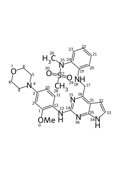 COc1cc(N2CCOCC2)ccc1Nc1nc(CNc2ccccc2N(C)S(C)(=O)=O)c2cc[nH]c2n1